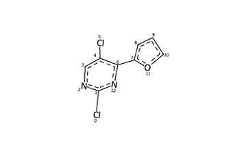 Clc1ncc(Cl)c(-c2ccco2)n1